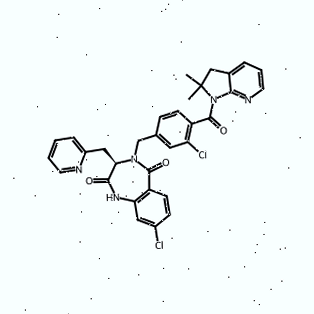 CC1(C)Cc2cccnc2N1C(=O)c1ccc(CN2C(=O)c3ccc(Cl)cc3NC(=O)[C@H]2Cc2ccccn2)cc1Cl